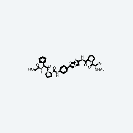 CC(=O)N[C@H](C(=O)N1CCCC1C(=O)Nc1cn2cc(-c3ccc(NC(=O)[C@@H]4CCCN4C(=O)[C@@H](NC(=O)CO)c4ccccc4)cc3)sc2n1)C(C)C